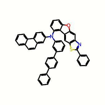 c1ccc(-c2ccc(-c3cccc(N(c4ccc5c(ccc6ccccc65)c4)c4cccc5oc6cc7nc(-c8ccccc8)sc7cc6c45)c3)cc2)cc1